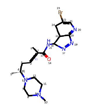 C/C(=C\C[C@@H](C)N1CCN(C)CC1)C(=O)NC1N=NC2=NC=C(Br)CC21